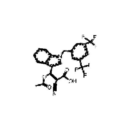 CC(=O)OC(=C(C#N)C(=O)O)c1cn(Cc2cc(C(F)(F)F)cc(C(F)(F)F)c2)c2ccccc12